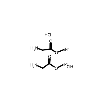 CC(C)OC(=O)CN.CC(C)OC(=O)CN.Cl.Cl